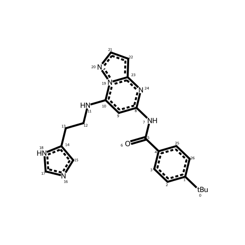 CC(C)(C)c1ccc(C(=O)Nc2cc(NCCc3cnc[nH]3)n3nccc3n2)cc1